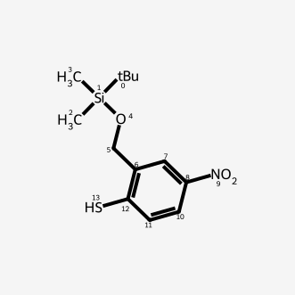 CC(C)(C)[Si](C)(C)OCc1cc([N+](=O)[O-])ccc1S